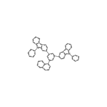 c1ccc(-n2c3ccccc3c3cc(-c4cc(-c5ccc6c7ccccc7n(-c7ccccc7)c6c5)cc(-c5cccc6ccccc56)c4)ccc32)cc1